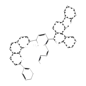 C\C=C/C=C\C(C)=C(\C=C/C(C)c1ccc2ccc3ccc(C4=CCCC=C4)nc3c2n1)c1nc2ccccc2c2c1ccc1c3ccccc3sc12